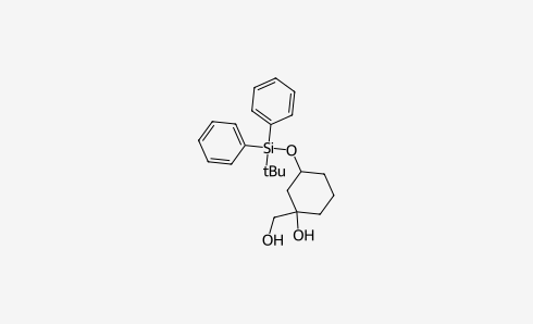 CC(C)(C)[Si](OC1CCCC(O)(CO)C1)(c1ccccc1)c1ccccc1